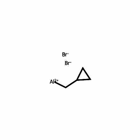 [Al+2][CH2]C1CC1.[Br-].[Br-]